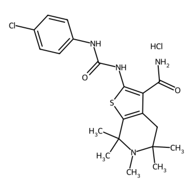 CN1C(C)(C)Cc2c(sc(NC(=O)Nc3ccc(Cl)cc3)c2C(N)=O)C1(C)C.Cl